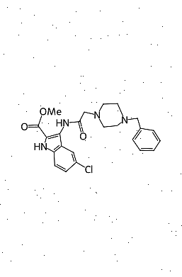 COC(=O)c1[nH]c2ccc(Cl)cc2c1NC(=O)CN1CCN(Cc2ccccc2)CC1